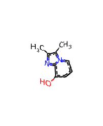 Cc1nc2c(O)cccn2c1C